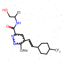 CCC(CO)NC(=O)c1cc(C=CC2CCC(C(F)(F)F)CC2)c(OC)nn1